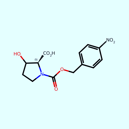 O=C(O)[C@@H]1C(O)CCN1C(=O)OCc1ccc([N+](=O)[O-])cc1